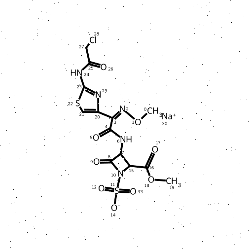 CON=C(C(=O)NC1C(=O)N(S(=O)(=O)[O-])C1C(=O)OC)c1csc(NC(=O)CCl)n1.[Na+]